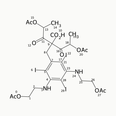 CC(=O)OCCNc1c(I)c(CC(C(=O)O)(C(=O)C(C)OC(C)=O)C(=O)C(C)OC(C)=O)c(I)c(NCCOC(C)=O)c1I